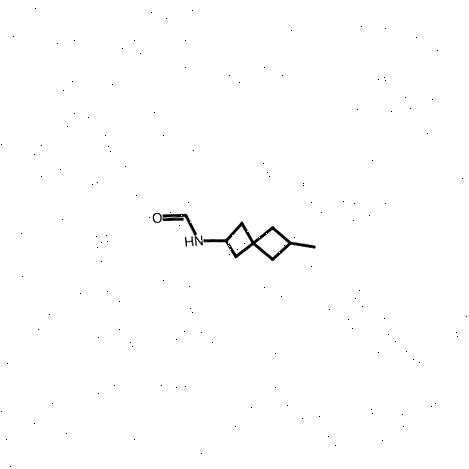 CC1CC2(C1)CC(NC=O)C2